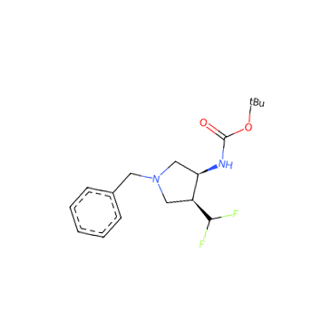 CC(C)(C)OC(=O)N[C@@H]1CN(Cc2ccccc2)C[C@@H]1C(F)F